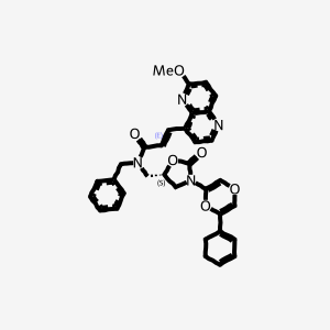 COc1ccc2nccc(/C=C/C(=O)N(Cc3ccccc3)C[C@H]3CN(C4=COC=C(C5=CC=CCC5)O4)C(=O)O3)c2n1